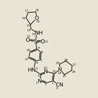 N#Cc1cnc(Nc2ccc(S(=O)(=O)NCC3CCCO3)cc2)nc1N1CCCCC1